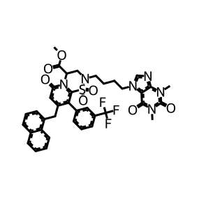 COC(=O)C1CN(CCCCn2cnc3c2c(=O)n(C)c(=O)n3C)S(=O)(=O)c2c(-c3cccc(C(F)(F)F)c3)c(Cc3cccc4ccccc34)cc(=O)n21